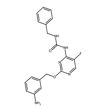 Nc1cccc(COc2ncc(F)c(NC(=O)NCc3ccccc3)n2)c1